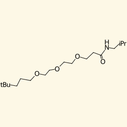 CC(C)CNC(=O)CCOCCOCCOCCCC(C)(C)C